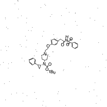 CC(C)(C)OC(=O)N(C1CCN(CCOc2ccc(CC(=O)NS(=O)(=O)c3ccccc3)cc2)CC1)[C@@H]1C[C@H]1c1ccccc1